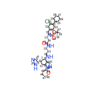 Cc1nc[nH]c1-c1cc(NCCCNC(=O)CCN(Cc2ccc(-c3ccccc3)c(Cl)c2)C(=O)OC(C)(C)C)c2cnn(C3CCCCO3)c2c1